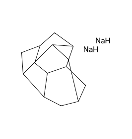 C1C2CC3C4CC5CC(C14)C(C2)C3C5.[NaH].[NaH]